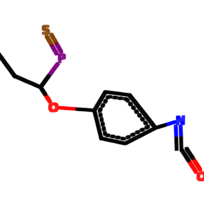 CCC(Oc1ccc(N=C=O)cc1)P=S